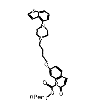 CCCCCOC(=O)n1c(=O)ccc2ccc(OCCCCN3CCN(c4cccc5sccc45)CC3)cc21